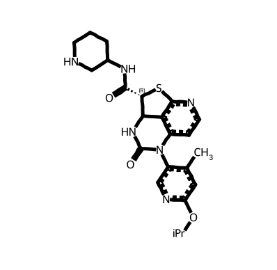 Cc1cc(OC(C)C)ncc1N1C(=O)NC2c3c1ccnc3S[C@H]2C(=O)NC1CCCNC1